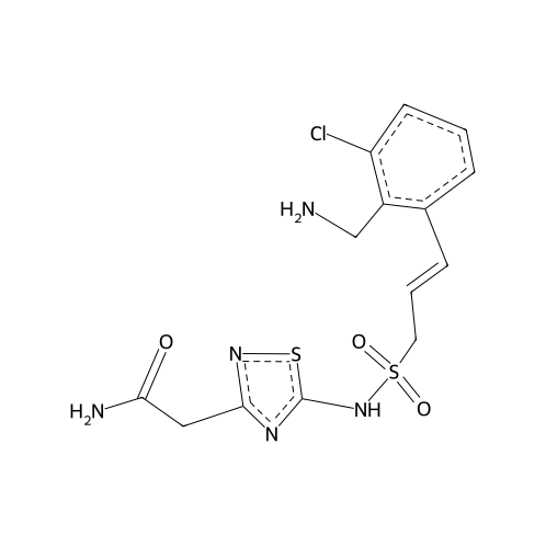 NCc1c(Cl)cccc1C=CCS(=O)(=O)Nc1nc(CC(N)=O)ns1